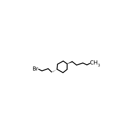 CCCCC[C@H]1CC[C@H](CCCBr)CC1